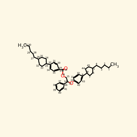 CCCCCC1CCC(c2ccc(OC(COC(=O)c3ccc(C4CCC(CCCCC)CC4)cc3)c3ccccc3)cc2)CC1